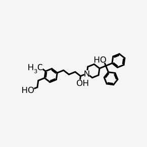 Cc1cc(CCCC(O)N2CCC(C(O)(c3ccccc3)c3ccccc3)CC2)ccc1CCO